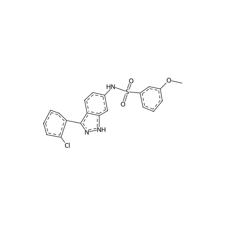 COc1cccc(S(=O)(=O)Nc2ccc3c(-c4ccccc4Cl)n[nH]c3c2)c1